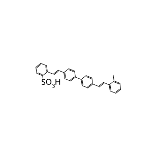 Cc1ccccc1/C=C/c1ccc(-c2ccc(/C=C/c3ccccc3S(=O)(=O)O)cc2)cc1